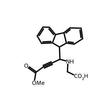 COC(=O)C#CC(NCC(=O)O)C1c2ccccc2-c2ccccc21